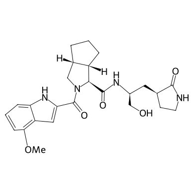 COc1cccc2[nH]c(C(=O)N3C[C@@H]4CCC[C@@H]4[C@H]3C(=O)N[C@H](CO)C[C@@H]3CCNC3=O)cc12